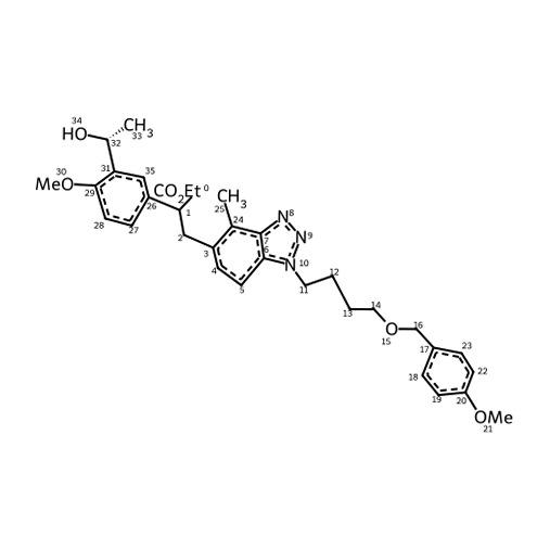 CCOC(=O)C(Cc1ccc2c(nnn2CCCCOCc2ccc(OC)cc2)c1C)c1ccc(OC)c([C@@H](C)O)c1